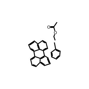 CCOC(C)=O.Cc1ccccc1.c1cc2cccc3c4cccc5cccc(c(c1)c23)c54